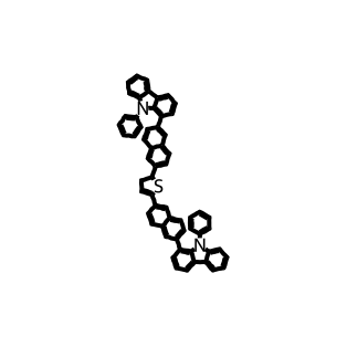 C1=C(c2ccc3cc(-c4cccc5c6ccccc6n(-c6ccccc6)c45)ccc3c2)SC(c2ccc3cc(-c4cccc5c6ccccc6n(-c6ccccc6)c45)ccc3c2)C1